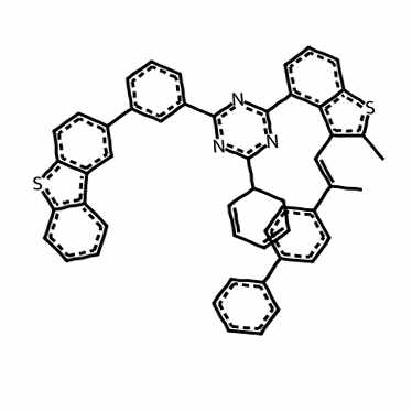 C/C(=C\c1c(C)sc2cccc(-c3nc(-c4cccc(-c5ccc6sc7ccccc7c6c5)c4)nc(C4C=CC=CC4)n3)c12)c1ccc(-c2ccccc2)cc1